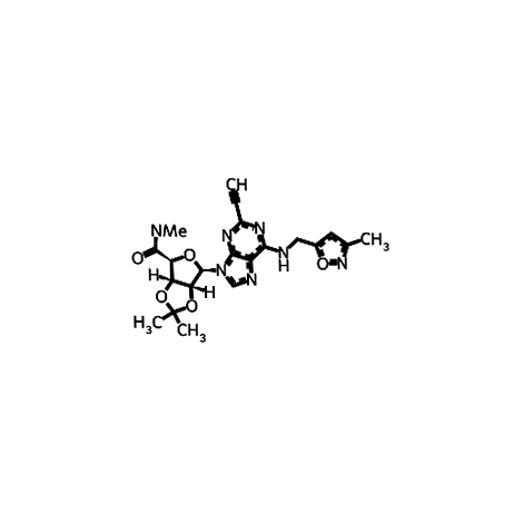 C#Cc1nc(NCc2cc(C)no2)c2ncn([C@@H]3O[C@H](C(=O)NC)[C@H]4OC(C)(C)O[C@H]43)c2n1